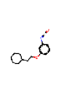 O=C=Nc1cccc(OCCC2CCCCC2)c1